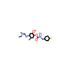 CCN(C)C=Nc1cc(OC)c(OC(=O)NCc2ccc(F)cc2)cc1C